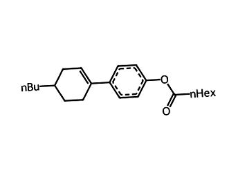 CCCCCCC(=O)Oc1ccc(C2=CCC(CCCC)CC2)cc1